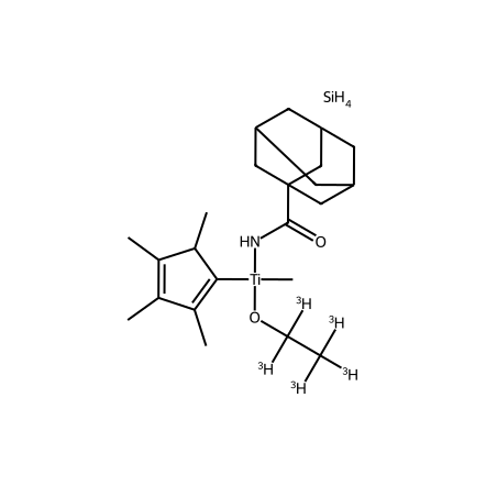 [3H]C([3H])([3H])C([3H])([3H])[O][Ti]([CH3])([NH]C(=O)C12CC3CC(CC(C3)C1)C2)[C]1=C(C)C(C)=C(C)C1C.[SiH4]